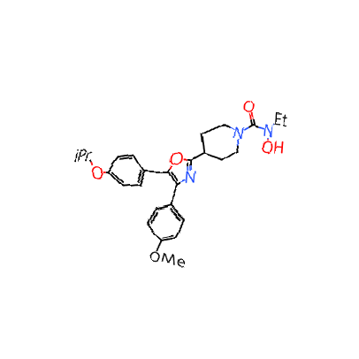 CCN(O)C(=O)N1CCC(c2nc(-c3ccc(OC)cc3)c(-c3ccc(OC(C)C)cc3)o2)CC1